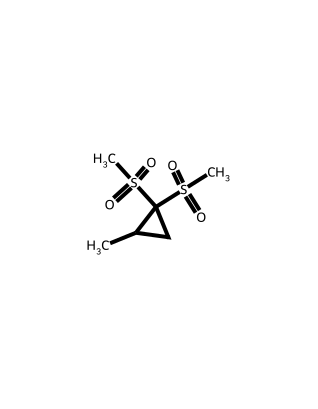 CC1CC1(S(C)(=O)=O)S(C)(=O)=O